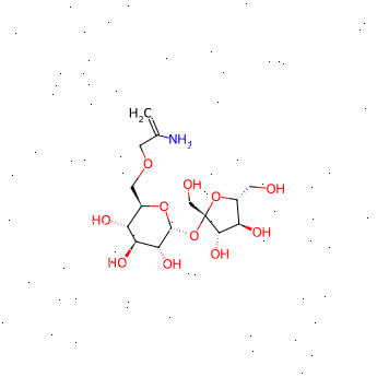 C=C(N)COC[C@H]1O[C@H](O[C@]2(CO)O[C@H](CO)[C@@H](O)[C@@H]2O)[C@H](O)[C@@H](O)[C@@H]1O